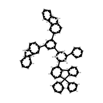 c1ccc(-c2nc(-c3cc(-c4ccc5sc6ccccc6c5c4)cc(-c4ccc5sc6ccccc6c5c4)c3)nc(-c3cccc4c3-c3ccccc3C4(c3ccccc3)c3ccccc3)n2)cc1